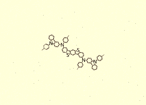 Cc1ccc(N(c2ccc3sc4cc5c(cc4c3c2)sc2ccc(N(c3ccc(C)cc3)c3ccc4c(c3)c3ccccc3n4-c3ccc(C)cc3)cc25)c2ccc3c(c2)c2ccccc2n3C2=CCC(C)C=C2)cc1